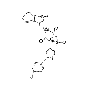 COc1ccc(-c2cc(NC(=O)[C@H](Cc3c[nH]c4ccccc34)NS(=O)(=O)CS(C)(=O)=O)on2)cc1